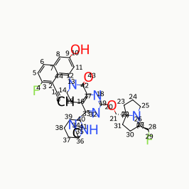 C#Cc1c(F)ccc2cc(O)cc(N3CCc4c(nc(OC[C@]56CCCN5[C@@H](CF)CC6)nc4N4CC5CCC4CN5)C3=O)c12